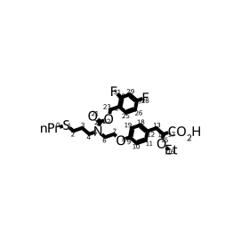 CCCSCCCN(CCOc1ccc(CC(OCC)C(=O)O)cc1)C(=O)OCc1ccc(F)cc1F